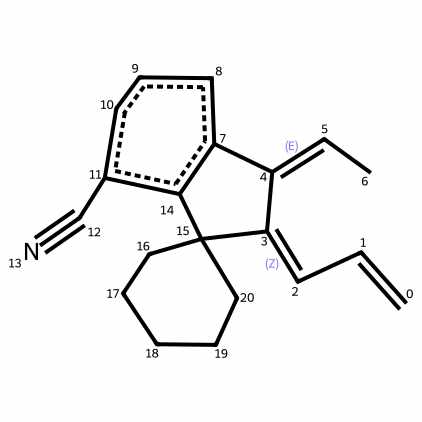 C=C/C=C1\C(=C/C)c2cccc(C#N)c2C12CCCCC2